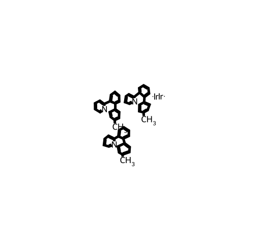 Cc1ccc(-c2ccccc2-c2ccccn2)cc1.Cc1ccc(-c2ccccc2-c2ccccn2)cc1.Cc1ccc(-c2ccccc2-c2ccccn2)cc1.[Ir].[Ir]